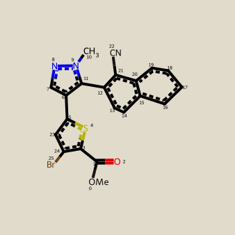 COC(=O)c1sc(-c2cnn(C)c2-c2ccc3ccccc3c2C#N)cc1Br